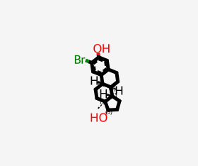 C[C@]12CC[C@@H]3c4cc(Br)c(O)cc4CC[C@H]3[C@@H]1CC[C@@H]2O